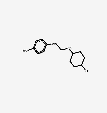 Oc1ccc(CCNC2CCC(O)CC2)cc1